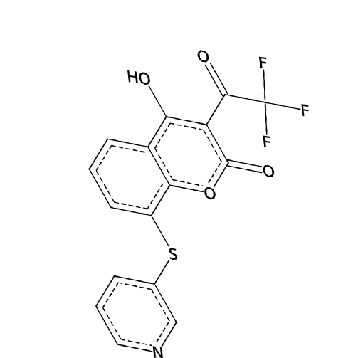 O=C(c1c(O)c2cccc(Sc3cccnc3)c2oc1=O)C(F)(F)F